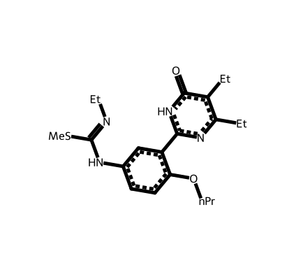 CCCOc1ccc(NC(=NCC)SC)cc1-c1nc(CC)c(CC)c(=O)[nH]1